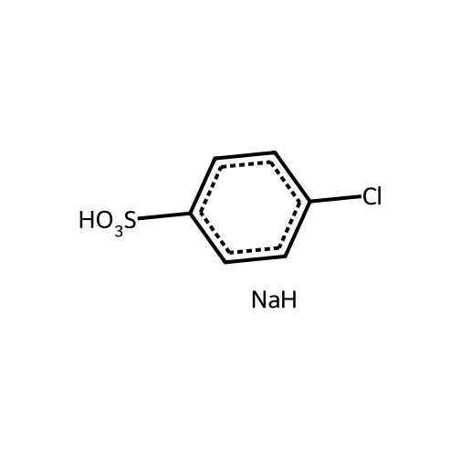 O=S(=O)(O)c1ccc(Cl)cc1.[NaH]